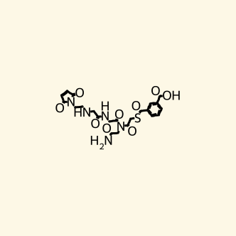 NC(=O)CN(C(=O)CNC(=O)CNCCN1C(=O)C=CC1=O)C(=O)CSC(=O)c1cccc(C(=O)O)c1